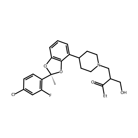 CCC(=O)C(CO)CN1CCC(c2cccc3c2O[C@@](C)(c2ccc(Cl)cc2F)O3)CC1